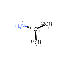 [13CH3][13CH]([13CH3])N